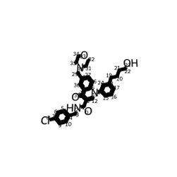 O=C(NCc1ccc(Cl)cc1)c1cn(-c2cccc(CCCCO)c2)c2ccc(CN3CCOCC3)cc2c1=O